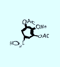 COc1c(OC(C)=O)cc(C(=O)O)cc1OC(C)=O